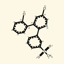 CS(=O)(=O)c1cccc(-c2ncc(Cl)cc2-c2ccccc2Cl)c1